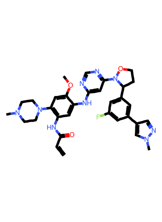 C=CC(=O)Nc1cc(Nc2cc(N3OCCC3c3cc(F)cc(-c4cnn(C)c4)c3)ncn2)c(OC)cc1N1CCN(C)CC1